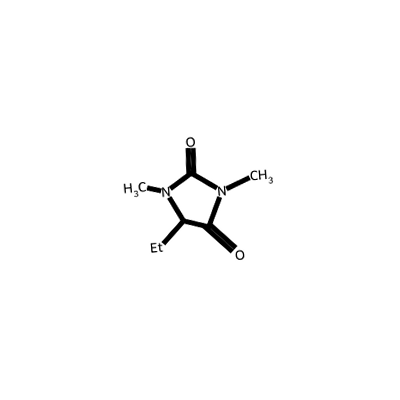 CCC1C(=O)N(C)C(=O)N1C